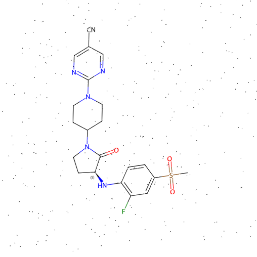 CS(=O)(=O)c1ccc(N[C@H]2CCN(C3CCN(c4ncc(C#N)cn4)CC3)C2=O)c(F)c1